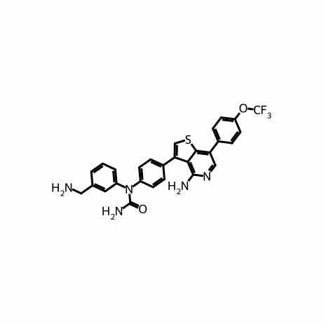 NCc1cccc(N(C(N)=O)c2ccc(-c3csc4c(-c5ccc(OC(F)(F)F)cc5)cnc(N)c34)cc2)c1